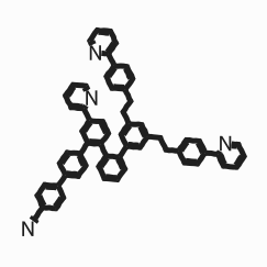 N#Cc1ccc(-c2ccc(-c3cc(-c4ccccn4)ccc3-c3ccccc3-c3cc(CCc4ccc(-c5ccccn5)cc4)cc(CCc4ccc(-c5ccccn5)cc4)c3)cc2)cc1